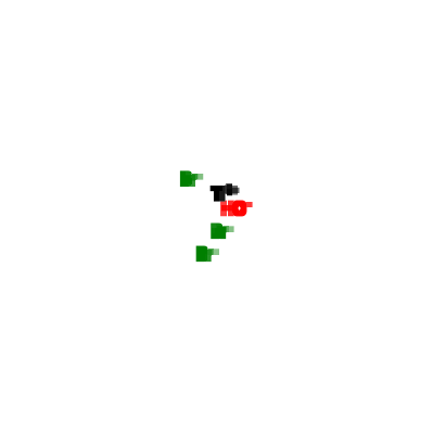 [Br-].[Br-].[Br-].[OH-].[Ti+4]